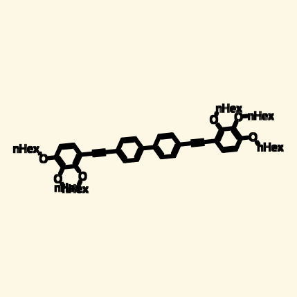 CCCCCCOc1ccc(C#Cc2ccc(-c3ccc(C#Cc4ccc(OCCCCCC)c(OCCCCCC)c4OCCCCCC)cc3)cc2)c(OCCCCCC)c1OCCCCCC